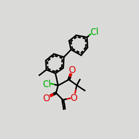 C=C1OC(C)(C)C(=O)C(Cl)(c2cc(-c3ccc(Cl)cc3)ccc2C)C1=O